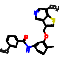 COc1cccc(C(=O)Nc2ccc(C)c(OCc3csc4c(C(=O)O)cncc34)c2)c1